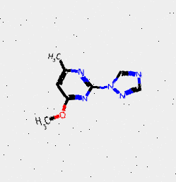 COc1cc(C)nc(-n2cncn2)n1